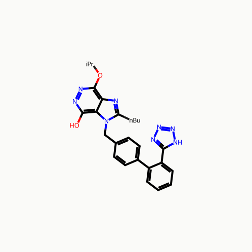 CCCCc1nc2c(OC(C)C)nnc(O)c2n1Cc1ccc(-c2ccccc2-c2nnn[nH]2)cc1